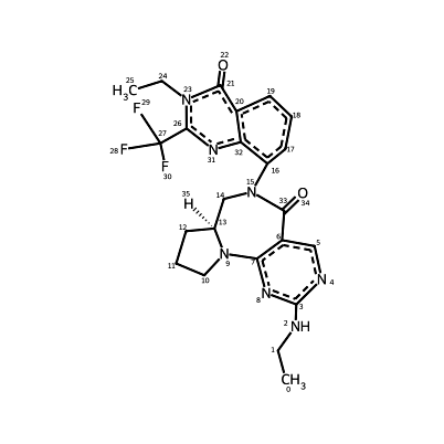 CCNc1ncc2c(n1)N1CCC[C@H]1CN(c1cccc3c(=O)n(CC)c(C(F)(F)F)nc13)C2=O